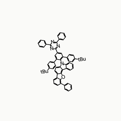 CC(C)(C)c1ccc(-c2cc(-c3nc(-c4ccccc4)nc(-c4ccccc4)n3)cc(-c3ccc(C(C)(C)C)cc3)c2-n2c3ccccc3c3c4oc5c(-c6ccccc6)cccc5c4ccc32)cc1